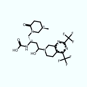 C[C@@H]1CCC(=O)N(C[C@H](CC(O)N2CCc3c(nc(C(F)(F)F)nc3C(F)(F)F)C2)NC(=O)O)C1